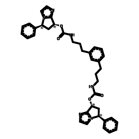 O=C(NCCCc1cccc(CCCNC(=O)O[C@@H]2C[C@@H](c3ccccc3)n3ccnc32)c1)O[C@@H]1C[C@@H](c2ccccc2)n2ccnc21